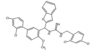 COc1ccc(-c2ccc(Cl)cc2Cl)cc1C(NC(=N)NCc1ccc(Cl)cc1Cl)c1cc2ccccc2o1